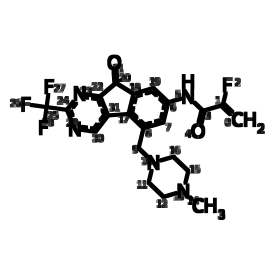 C=C(F)C(=O)Nc1cc(CN2CCN(C)CC2)c2c(c1)C(=O)c1nc(C(F)(F)F)ncc1-2